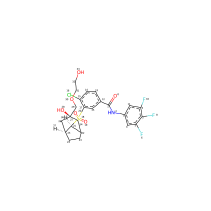 O=C(Nc1cc(F)c(F)c(F)c1)c1ccc(Cl)c(S(=O)(=O)[C@H]2C3CC[C@H]2C[C@](O)(COCCO)C3)c1